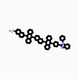 Cc1ccc2cc(-c3c4ccccc4c(-c4ccc5cc(-c6c7ccccc7c(-c7ccc(-c8nc9ccccc9n8-c8ccccc8)cc7)c7ccccc67)ccc5c4)c4ccccc34)ccc2c1